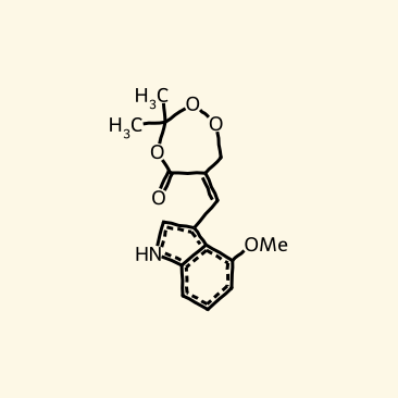 COc1cccc2[nH]cc(/C=C3/COOC(C)(C)OC3=O)c12